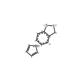 B1C=CC=C1.c1ccc2c(c1)CSS2